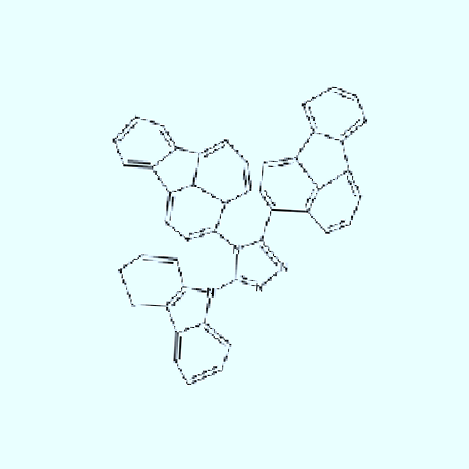 C1=CC2C(n3c(-c4ccc5c6c(cccc46)-c4ccccc4-5)nnc3-n3c4c(c5ccccc53)CCC=C4)=CC=C3c4ccccc4C(=C1)C32